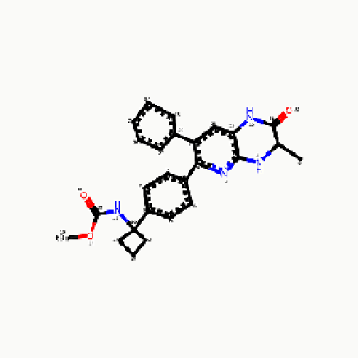 CC1Nc2nc(-c3ccc(C4(NC(=O)OC(C)(C)C)CCC4)cc3)c(-c3ccccc3)cc2NC1=O